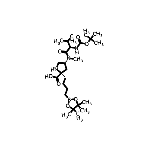 CC(C)C(NC(=O)OC(C)(C)C)C(=O)N(C)[C@H]1CN[C@](CCCCB2OC(C)(C)C(C)(C)O2)(C(=O)O)C1